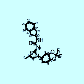 Cc1cn(-c2ccc3c(c2)OC(F)(F)O3)c(=NC(=O)NC2Cc3ccccc3C2)s1